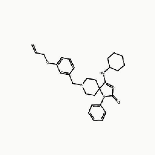 C=CCOc1cccc(CN2CCC3(CC2)C(NC2CCCCC2)=NC(=O)N3c2ccccc2)c1